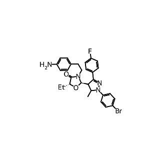 CC[C@H]1O[C@H](C2C(c3ccc(F)cc3)=NN(c3ccc(Br)cc3)C2C)N(CCc2ccc(N)cc2)C1=O